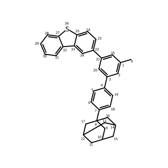 Cc1cc(-c2ccc(C34CC5CC(CC(C5)C3)C4)cc2)cc(-c2ccc3sc4ccccc4c3c2)c1